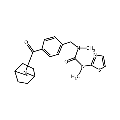 CN(Cc1ccc(C(=O)N2CC3CCC(CC3)C2)cc1)C(=O)N(C)c1nccs1